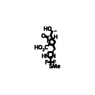 CSC(F)(F)C1=N[C@H](CC2=C(C(=O)O)N3C(=O)[C@H]([C@@H](C)O)[C@H]3C2)CN1